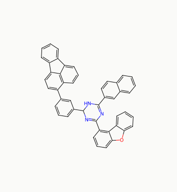 c1cc(-c2ccc3c4c(cccc24)-c2ccccc2-3)cc(C2N=C(c3cccc4oc5ccccc5c34)N=C(c3ccc4ccccc4c3)N2)c1